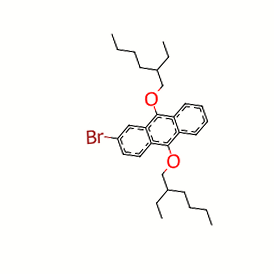 CCCCC(CC)COc1c2ccccc2c(OCC(CC)CCCC)c2cc(Br)ccc12